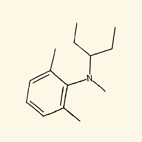 CCC(CC)N(C)c1c(C)cccc1C